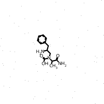 CC(C(N)=O)N(CC(N)Cc1ccccc1)C(=O)O